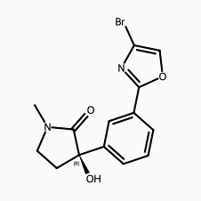 CN1CC[C@@](O)(c2cccc(-c3nc(Br)co3)c2)C1=O